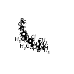 CSc1nc(C)[nH]c(=O)c1CNC(=O)c1cc(Cl)c2c(c1C)OC(C)(C1CCC(N3CC(OC(F)F)C3)CC1)O2